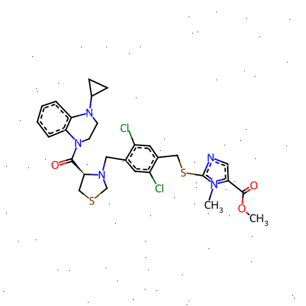 COC(=O)c1cnc(SCc2cc(Cl)c(CN3CSC[C@H]3C(=O)N3CCN(C4CC4)c4ccccc43)cc2Cl)n1C